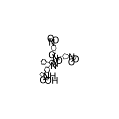 O=C(O)NC1(c2ccc(-c3nnc(N(C(=O)C[C@H]4CC[C@H](N5CCOC5=O)CC4)C(=O)C[C@H]4CC[C@H](N5CCOC5=O)CC4)cc3-c3ccccc3)cc2)CCC1